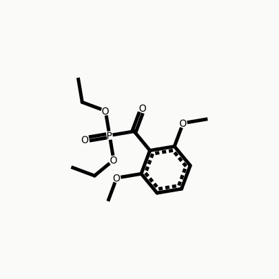 CCOP(=O)(OCC)C(=O)c1c(OC)cccc1OC